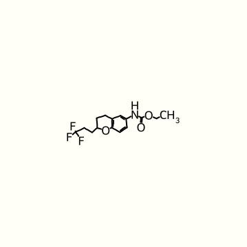 CCOC(=O)Nc1ccc2c(c1)CCC(CCC(F)(F)F)O2